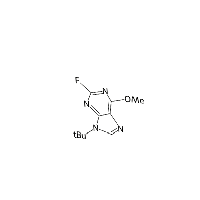 COc1nc(F)nc2c1ncn2C(C)(C)C